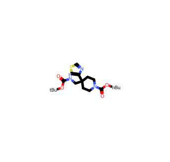 CCCCOC(=O)N1CCC(CNC(=O)OC(C)(C)C)(c2cscn2)CC1